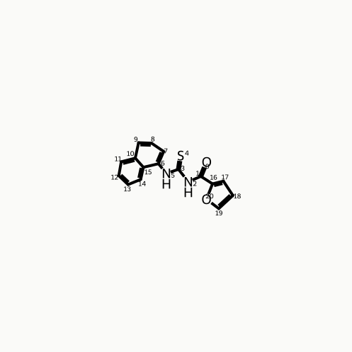 O=C(NC(=S)Nc1cccc2ccccc12)c1ccco1